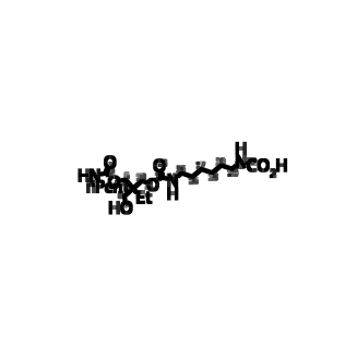 CCCCCNC(=O)OCC(CC)(CO)COC(=O)NCCCCCCNC(=O)O